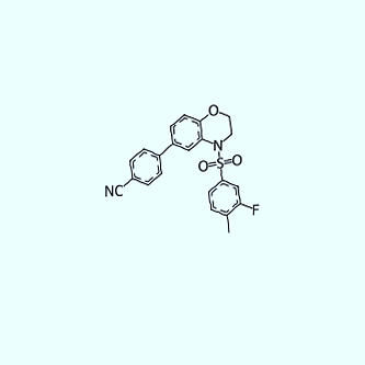 Cc1ccc(S(=O)(=O)N2CCOc3ccc(-c4ccc(C#N)cc4)cc32)cc1F